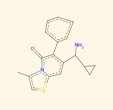 Cc1csc2cc(C(N)C3CC3)c(-c3ccccc3)c(=O)n12